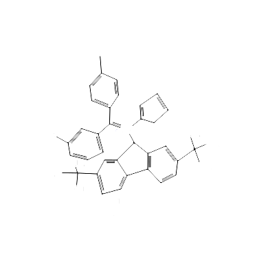 Cc1ccc(/[C](c2cccc(Cl)c2)=[Zr+2](\[C]2=CC=CC2)[CH]2c3cc(C(C)(C)C)ccc3-c3ccc(C(C)(C)C)cc32)cc1.[Cl-].[Cl-]